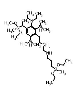 CCO[Si](C)(CCCNC[SiH2]CCc1c([SiH](C)C)cc(C(C)[Si](C)(OC)OC)c(N(CC)CC)c1[SiH](C)C)OCC